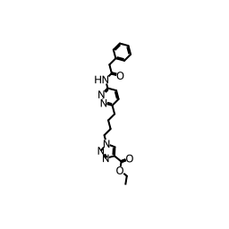 CCOC(=O)c1cn(CCCCc2ccc(NC(=O)Cc3ccccc3)nn2)nn1